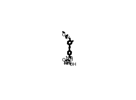 CCOC1CN(Cc2ccc(C#Cc3ccc(C(=O)N(C)C(C(=O)NC)C(=O)NO)cc3)cc2C)C1